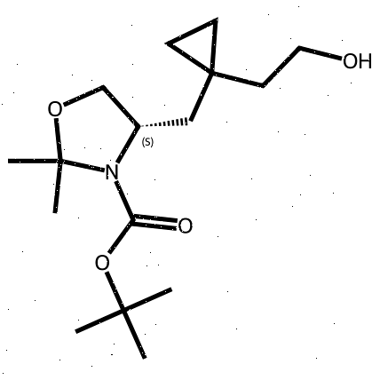 CC(C)(C)OC(=O)N1[C@@H](CC2(CCO)CC2)COC1(C)C